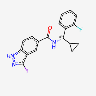 O=C(N[C@H](c1ccccc1F)C1CC1)c1ccc2[nH]nc(I)c2c1